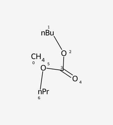 C.CCCCOC(=O)OCCC